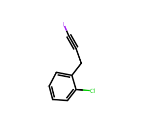 Clc1cc[c]cc1CC#CI